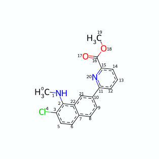 CNc1c(Cl)ccc2ccc(-c3cccc(C(=O)OC)n3)cc12